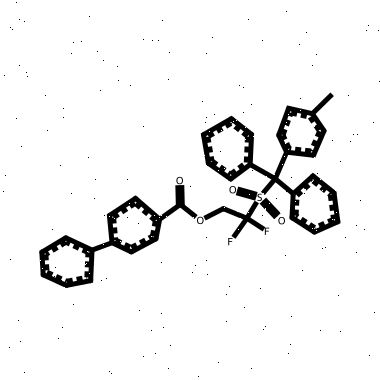 Cc1ccc(C(c2ccccc2)(c2ccccc2)S(=O)(=O)C(F)(F)COC(=O)c2ccc(-c3ccccc3)cc2)cc1